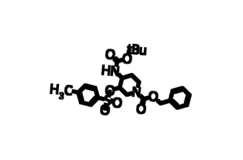 Cc1ccc(S(=O)(=O)OC2CN(C(=O)OCc3ccccc3)CCC2NC(=O)OC(C)(C)C)cc1